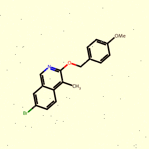 COc1ccc(COc2ncc3cc(Br)ccc3c2C)cc1